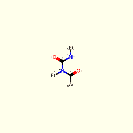 CCNC(=O)N(CC)C(=O)C(C)=O